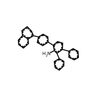 Nc1c(-c2ccc(-c3cccc4ccccc34)cc2)ccc(-c2ccccc2)c1-c1ccccc1